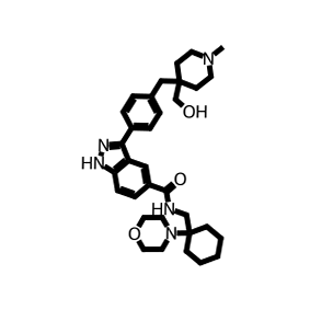 CN1CCC(CO)(Cc2ccc(-c3n[nH]c4ccc(C(=O)NCC5(N6CCOCC6)CCCCC5)cc34)cc2)CC1